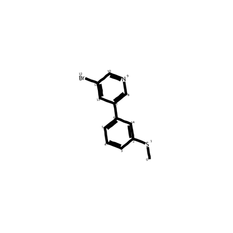 CSc1cccc(-c2cncc(Br)c2)c1